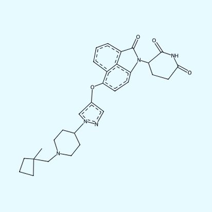 CC1(CN2CCC(n3cc(Oc4ccc5c6c(cccc46)C(=O)N5C4CCC(=O)NC4=O)cn3)CC2)CCC1